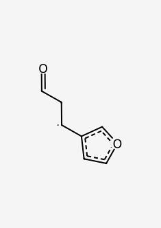 O=CC[CH]c1ccoc1